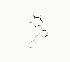 Cc1cc(-c2nccn2CC2CCCO2)cn(C)c1=O